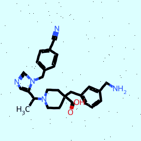 CC(c1cncn1Cc1ccc(C#N)cc1)N1CCC(Cc2cccc(CN)c2)(C(=O)O)CC1